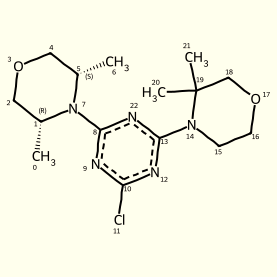 C[C@@H]1COC[C@H](C)N1c1nc(Cl)nc(N2CCOCC2(C)C)n1